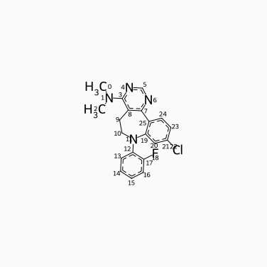 CN(C)c1ncnc2c1CCN(c1ccccc1F)c1cc(Cl)ccc1-2